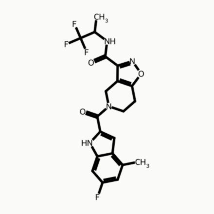 Cc1cc(F)cc2[nH]c(C(=O)N3CCc4onc(C(=O)NC(C)C(F)(F)F)c4C3)cc12